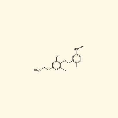 CC(C)Nc1ccc(F)c(COc2c(Br)cc(CCC(=O)O)cc2Br)c1